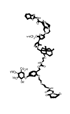 Cc1c(-c2ccc(N3CCn4cnc(C(=O)Nc5nc6ccccc6s5)c4C3)nc2C(=O)O)cnn1CC12CC(OCCNC(=O)OCc3ccc(O[C@@H]4C[C@H](C(=O)O)[C@@H](O)[C@H](O)[C@H]4O)cc3OCCOCCNC(=O)CN3C(=O)C=CC3=O)C3CCC(C)(C1)CC3(C)C2